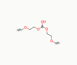 CCCOCCOB(O)OCCOCCC